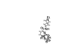 CCN1CC2(CC(NC(=O)[C@@H]3CC[C@@H]4CN3C(=O)N4OS(=O)(=O)S)C2)C1